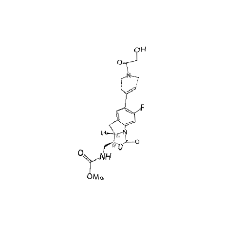 COC(=O)NC[C@@H]1OC(=O)N2c3cc(F)c(C4=CCN(C(=O)CO)CC4)cc3C[C@@H]12